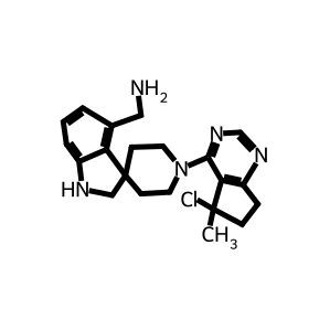 CC1(Cl)CCc2ncnc(N3CCC4(CC3)CNc3cccc(CN)c34)c21